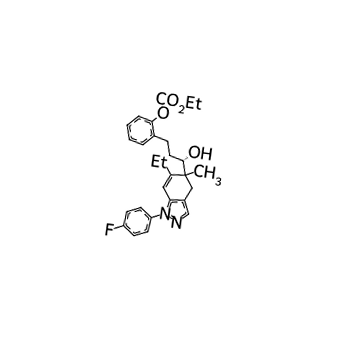 CCOC(=O)Oc1ccccc1CC[C@H](O)C1(C)Cc2cnn(-c3ccc(F)cc3)c2C=C1CC